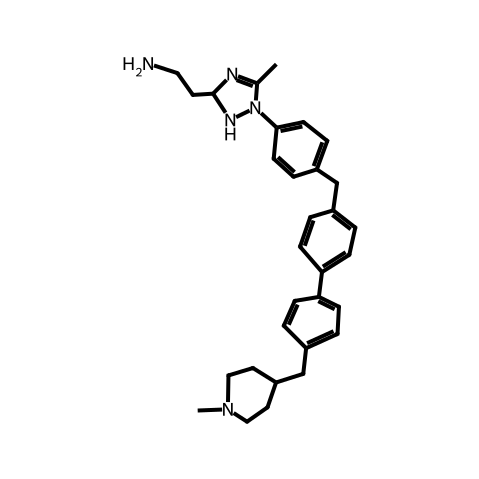 CC1=NC(CCN)NN1c1ccc(Cc2ccc(-c3ccc(CC4CCN(C)CC4)cc3)cc2)cc1